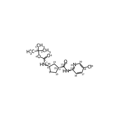 CC(C)(C)OC(=O)N[C@@H]1CC[C@H](C(=O)Nc2ccc(Cl)cn2)C1